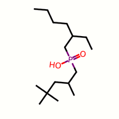 CCCCC(CC)CP(=O)(O)CC(C)CC(C)(C)C